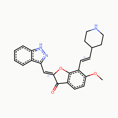 COc1ccc2c(c1/C=C/C1CCNCC1)O/C(=C\c1n[nH]c3ccccc13)C2=O